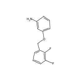 Nc1cccc(OCc2cccc(F)c2F)c1